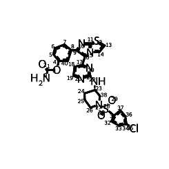 NC(=O)Oc1cccc(-c2nc3sccn3c2-c2ccnc(N[C@@H]3CCCN(S(=O)(=O)c4ccc(Cl)cc4)C3)n2)c1